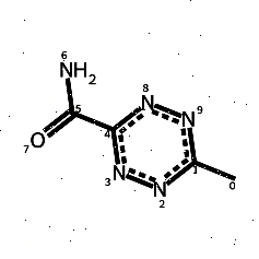 Cc1nnc(C(N)=O)nn1